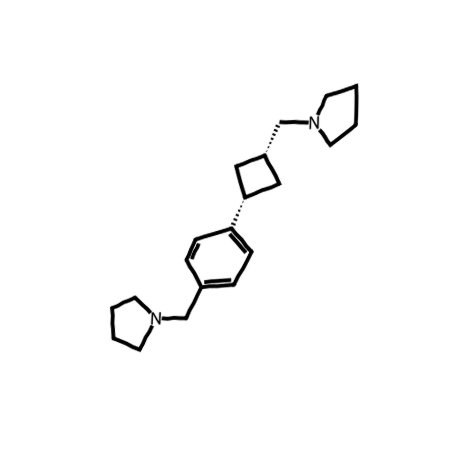 c1cc([C@H]2C[C@@H](CN3CCCC3)C2)ccc1CN1CCCC1